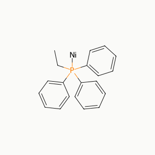 CC[P]([Ni])(c1ccccc1)(c1ccccc1)c1ccccc1